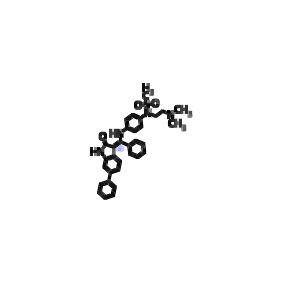 CN(C)CCN(c1ccc(N/C(=C2\C(=O)Nc3cc(-c4ccccc4)ccc32)c2ccccc2)cc1)S(C)(=O)=O